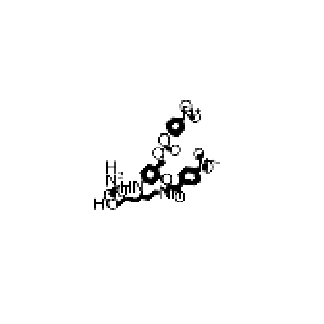 NC(=O)OC(CO)CC(CCNC(=O)C(=O)c1ccc([N+](=O)[O-])cc1)Nc1ccc(COC(=O)Oc2ccc([N+](=O)[O-])cc2)cc1